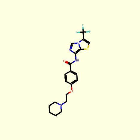 O=C(Nc1ncn2c(C(F)(F)F)csc12)c1ccc(OCCN2CCCCC2)cc1